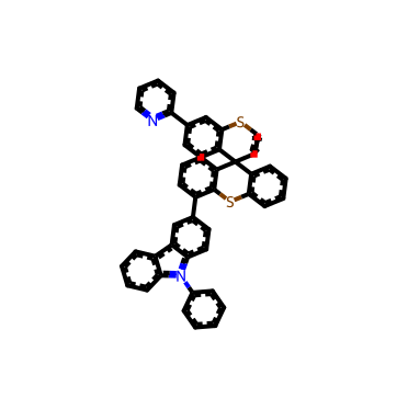 c1ccc(-n2c3ccccc3c3cc(-c4cccc5c4Sc4ccccc4C54c5ccccc5Sc5cc(-c6ccccn6)ccc54)ccc32)cc1